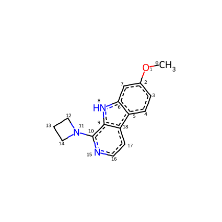 COc1ccc2c(c1)[nH]c1c(N3CCC3)nccc12